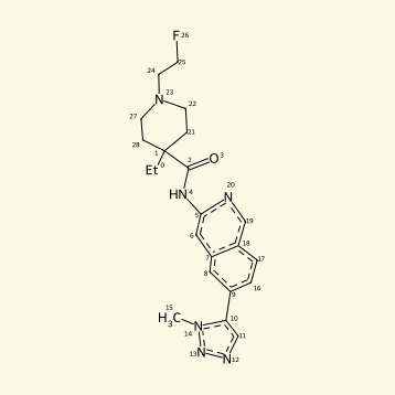 CCC1(C(=O)Nc2cc3cc(-c4cnnn4C)ccc3cn2)CCN(CCF)CC1